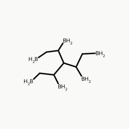 BCC(B)C(C(B)CB)C(B)CB